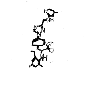 CCc1cc(F)cc(C)c1NC(Cc1ccc(-n2cnc(CNc3cc(C)ccn3)n2)cc1)C(=O)O